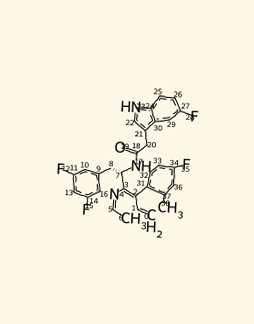 C=C/C(=C(\N=C/C)[C@H](Cc1cc(F)cc(F)c1)NC(=O)Cc1c[nH]c2ccc(F)cc12)c1ccc(F)cc1C